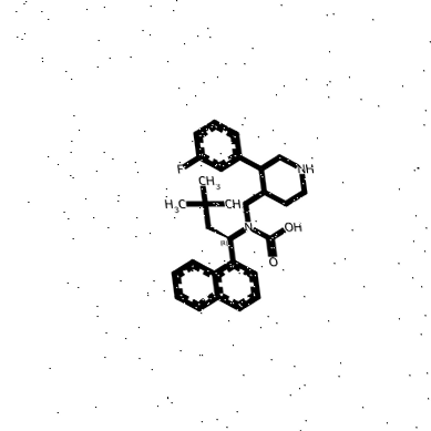 CC(C)(C)C[C@H](c1cccc2ccccc12)N(CC1CCNCC1c1cccc(F)c1)C(=O)O